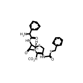 NC(C(=O)NC1C(=O)N2C(C(=O)O)=C(NC(=O)SCc3ccccc3)CS[C@@H]12)c1ccccc1